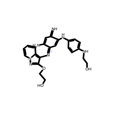 N=C1C=C(N)/C(=N\c2c(OCCO)nn3ccccc23)C=C1Nc1ccc(NCCO)cc1